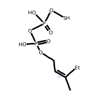 CC/C(C)=C\COP(=O)(O)OP(=O)(O)OS